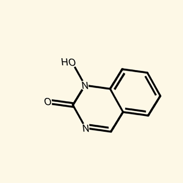 O=c1ncc2ccccc2n1O